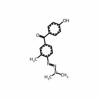 Cc1cc(C(=O)c2ccc(O)cc2)ccc1N=NN(C)C